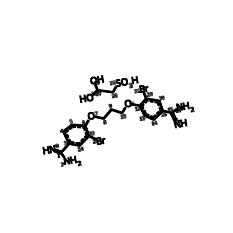 N=C(N)c1ccc(OCCCOc2ccc(C(=N)N)cc2Br)c(Br)c1.O=S(=O)(O)CC(O)O